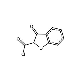 O=C(Cl)C1Oc2ccccc2C1=O